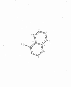 Ic1cccc2nccnc12